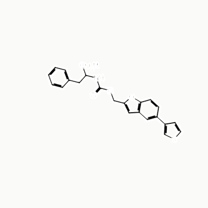 O=C(NC(Cc1ccccc1)C(=O)O)OCc1cc2cc(-c3ccsc3)ccc2o1